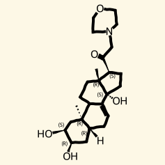 C[C@@]12C[C@H](O)[C@H](O)C[C@H]1CC=C1C2CC[C@]2(C)[C@@H](C(=O)CN3CCOCC3)CC[C@@]12O